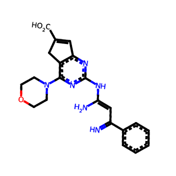 N=C(/C=C(\N)Nc1nc2c(c(N3CCOCC3)n1)CC(C(=O)O)=C2)c1ccccc1